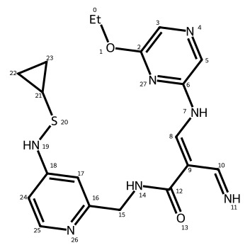 CCOc1cncc(N/C=C(\C=N)C(=O)NCc2cc(NSC3CC3)ccn2)n1